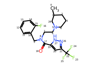 CC1CCCN(CCN(Cc2ccccc2F)C(=O)c2cc(C(F)(F)F)n[nH]2)C1